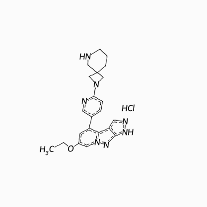 CCOc1cc(-c2ccc(N3CC4(CCCNC4)C3)nc2)c2c3cn[nH]c3nn2c1.Cl